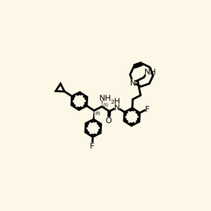 N[C@H](C(=O)Nc1cccc(F)c1CCC1CNC2C#CCN1CCC2)[C@@H](c1ccc(F)cc1)c1ccc(C2CC2)cc1